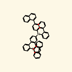 c1ccc(-c2cc(N(c3ccc(-c4cccc5ccccc45)cc3)c3ccccc3-c3ccccc3)ccc2-c2ccccc2-n2c3ccccc3c3ccccc32)cc1